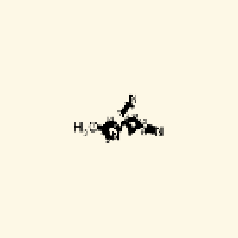 Cc1cnn([C@]2(CC#N)C[C@@H](C#N)C2)c1